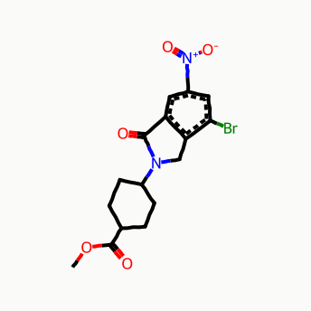 COC(=O)C1CCC(N2Cc3c(Br)cc([N+](=O)[O-])cc3C2=O)CC1